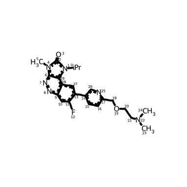 CC(C)n1c(=O)n(C)c2nnc3cc(F)c(-c4ccc(COCCN(C)C)nc4)cc3c21